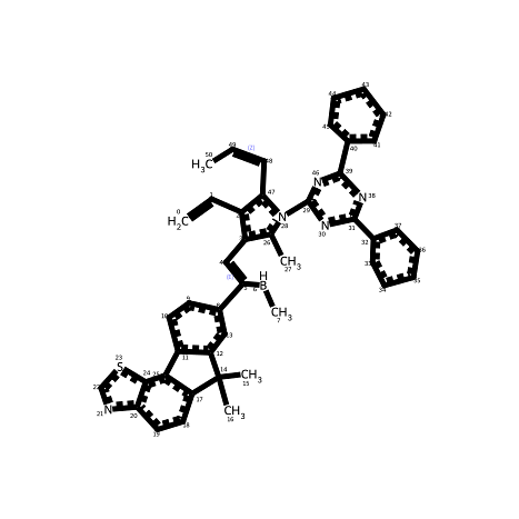 C=Cc1c(/C=C(\BC)c2ccc3c(c2)C(C)(C)c2ccc4ncsc4c2-3)c(C)n(-c2nc(-c3ccccc3)nc(-c3ccccc3)n2)c1/C=C\C